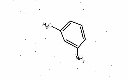 Cc1cc[c]c(N)c1